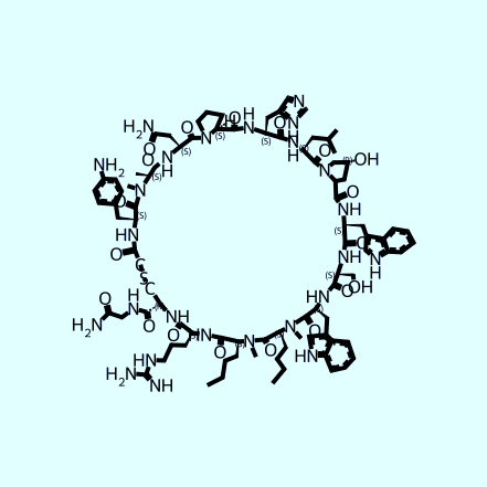 CCCC[C@H]1C(=O)N(C)[C@@H](CCCC)C(=O)N[C@@H](CCCNC(=N)N)C(=O)N[C@H](C(=O)NCC(N)=O)CSCC(=O)N[C@@H](Cc2ccc(N)cc2)C(=O)N(C)[C@@H](C)C(=O)N[C@@H](CC(N)=O)C(=O)N2CCC[C@H]2C(=O)N[C@@H](Cc2cnc[nH]2)C(=O)N[C@@H](CC(C)C)C(=O)N2C[C@H](O)CC2C(=O)N[C@@H](Cc2c[nH]c3ccccc23)C(=O)N[C@@H](CO)C(=O)N[C@@H](Cc2c[nH]c3ccccc23)C(=O)N1C